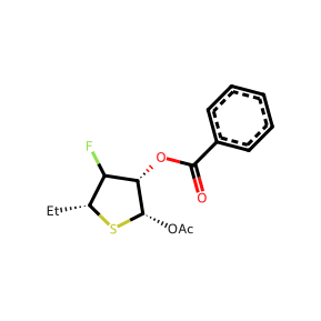 CC[C@H]1S[C@@H](OC(C)=O)[C@@H](OC(=O)c2ccccc2)C1F